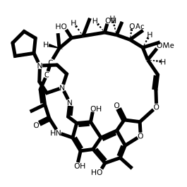 CO[C@H]1/C=C/O[C@@]2(C)Oc3c(C)c(O)c4c(O)c(c(/C=N/N5CCN(C6CCCC6)CC5)c(O)c4c3C2=O)NC(=O)/C(C)=C\CC[C@H](C)C(O)[C@@H](C)[C@@H](O)[C@@H](C)[C@](C)(OC(C)=O)[C@H]1C